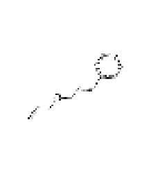 C=CCOC/C=C/c1ccccc1